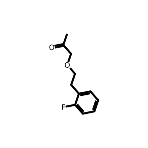 CC(=O)COCCc1ccccc1F